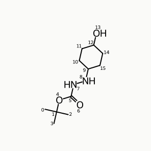 CC(C)(C)OC(=O)NNC1CCC(O)CC1